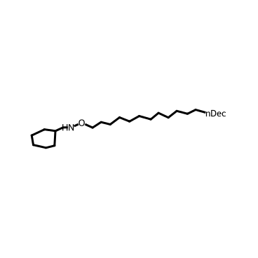 CCCCCCCCCCCCCCCCCCCCCCONCC1CCCCC1